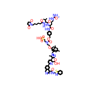 Cc1c(-c2ccc(-c3ccc4cncc(C(=O)Nc5nc6ccccc6s5)c4c3)nc2C(=O)O)cnn1CC12CC3(C)CC(C)(C1)CC(OCCN(CCS(=O)(=O)O)C(=O)OCc1ccc(NC(=O)C(CCCNC(N)=O)NC(=O)C(NC(=O)CCCCCN4C(=O)C=CC4=O)C(C)C)cc1)(C3)C2